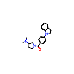 CN(C)C1CCN(C(=O)c2ccc(-n3ccc4ccccc43)cc2)C1